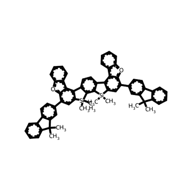 CC1(C)c2ccccc2-c2ccc(-c3cc4c(c5c3oc3ccccc35)-c3ccc5c(c3[Si]4(C)C)[Si](C)(C)c3cc(-c4ccc6c(c4)C(C)(C)c4ccccc4-6)c4oc6ccccc6c4c3-5)cc21